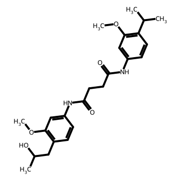 COc1cc(NC(=O)CCC(=O)Nc2ccc(C(C)C)c(OC)c2)ccc1CC(C)O